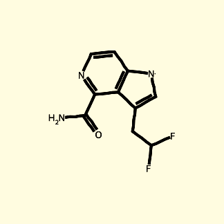 NC(=O)c1nccc2c1C(CC(F)F)=C[N]2